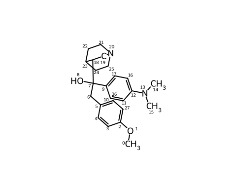 COc1ccc(CC(O)(c2ccc(N(C)C)cc2)C2CN3CCC2CC3)cc1